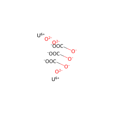 O=C([O-])[O-].O=C([O-])[O-].O=C([O-])[O-].[O-2].[O-2].[O-2].[U+6].[U+6]